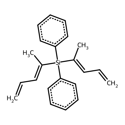 C=CC=C(C)[Si](C(C)=CC=C)(c1ccccc1)c1ccccc1